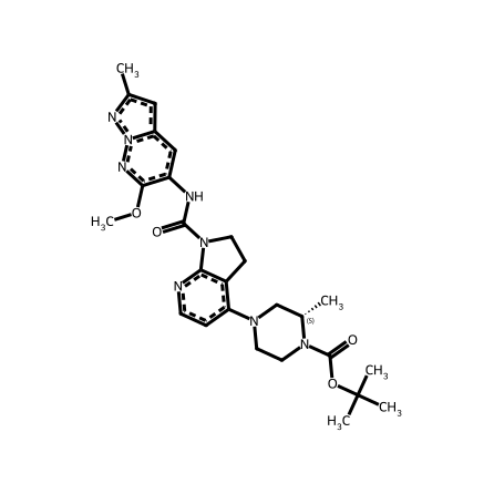 COc1nn2nc(C)cc2cc1NC(=O)N1CCc2c(N3CCN(C(=O)OC(C)(C)C)[C@@H](C)C3)ccnc21